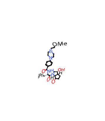 COCCN1CCN(c2ccc(C(=O)N[C@@H](CC(C)C)C(=O)N3C[C@H](O)[C@H]4CCC(=O)[C@H]43)cc2)CC1